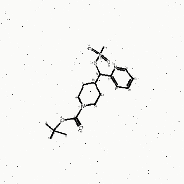 CC(C)(C)OC(=O)N1CCC(C(OS(C)(=O)=O)c2ccccn2)CC1